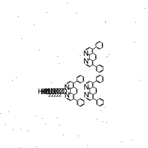 Cl.Cl.O.O.O.O.O.[Ru].c1ccc(-c2ccnc3c2ccc2c(-c4ccccc4)ccnc23)cc1.c1ccc(-c2ccnc3c2ccc2c(-c4ccccc4)ccnc23)cc1.c1ccc(-c2ccnc3c2ccc2c(-c4ccccc4)ccnc23)cc1